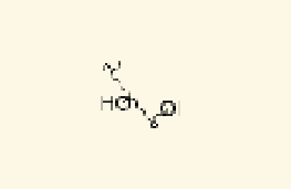 CCC1(CCCCC(O)CCCCC2(CCO)CC2)CC1